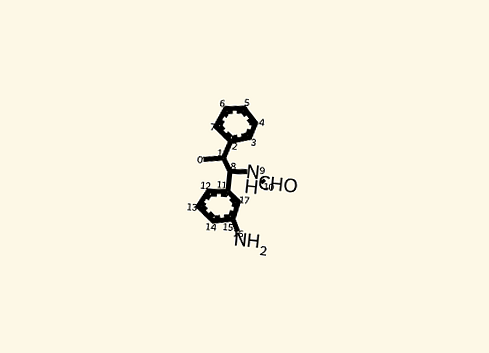 CC(c1ccccc1)C(NC=O)c1cccc(N)c1